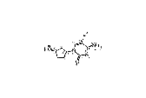 Nc1nc(=O)n([C@H]2CC[C@@H](O)C2)cc1F